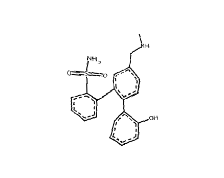 CNCc1ccc(-c2ccccc2O)c(-c2ccccc2S(N)(=O)=O)c1